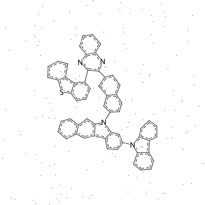 c1ccc2cc3c(cc2c1)c1ccc(-n2c4ccccc4c4ccccc42)cc1n3-c1ccc2ccc(-c3nc4ccccc4nc3-c3cccc4sc5ccccc5c34)cc2c1